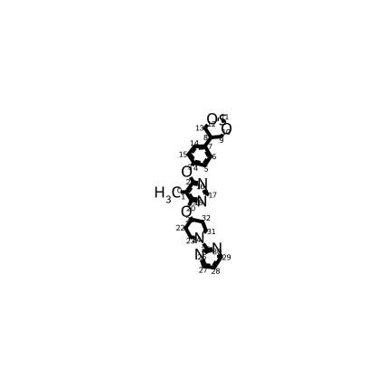 Cc1c(Oc2ccc(C3COSOC3)cc2)ncnc1OC1CCN(c2ncccn2)CC1